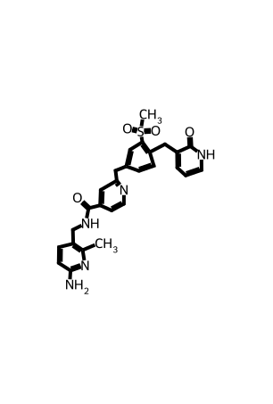 Cc1nc(N)ccc1CNC(=O)c1ccnc(Cc2ccc(Cc3ccc[nH]c3=O)c(S(C)(=O)=O)c2)c1